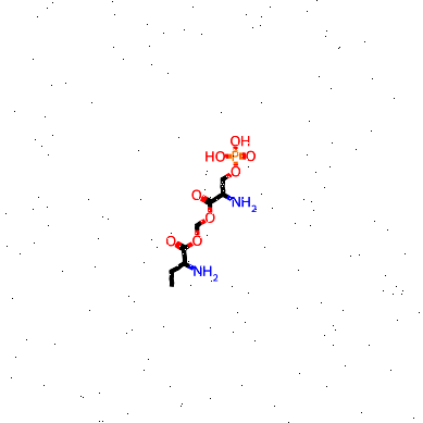 CCC(N)C(=O)OCOC(=O)C(N)COP(=O)(O)O